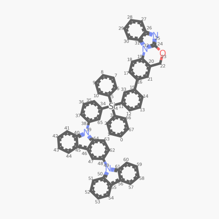 c1ccc([Si](c2ccccc2)(c2cccc(-c3ccc4c(c3)COc3nc5ccccc5n3-4)c2)c2cccc(-n3c4ccccc4c4cc(-n5c6ccccc6c6ccccc65)ccc43)c2)cc1